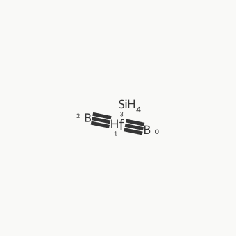 [B]#[Hf]#[B].[SiH4]